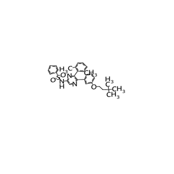 Cc1cccc(C)c1-c1nc(NS(=O)(=O)c2ccccc2)cnc1-c1cccc(OCCC(C)(C)C)c1